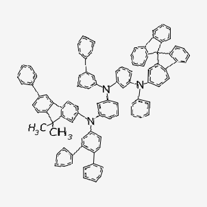 CC1(C)c2ccc(-c3ccccc3)cc2-c2ccc(N(c3cccc(N(c4cccc(-c5ccccc5)c4)c4cccc(N(c5ccccc5)c5ccc6c(c5)C5(c7ccccc7-c7ccccc75)c5ccccc5-6)c4)c3)c3ccc(-c4ccccc4)c(-c4ccccc4)c3)cc21